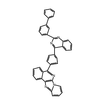 c1ccc(-c2cccc(-c3nc(-c4ccc(-c5nc6c(nc7ccccn76)c6ccccc56)cc4)c4ccccc4n3)c2)cc1